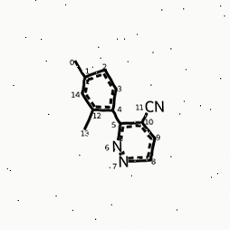 Cc1ccc(-c2nnccc2C#N)c(C)c1